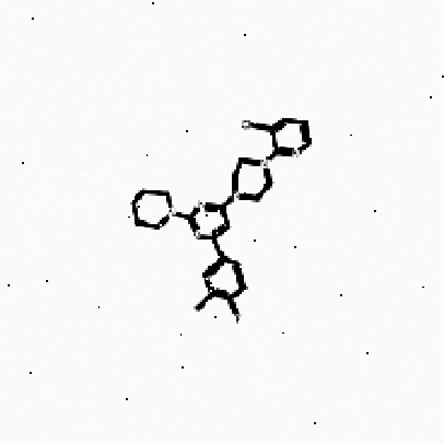 Cc1cc(-c2cc(N3CCN(c4ncccc4Cl)CC3)nc(N3CCCCC3)n2)ccc1F